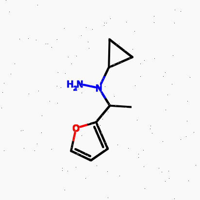 CC(c1ccco1)N(N)C1CC1